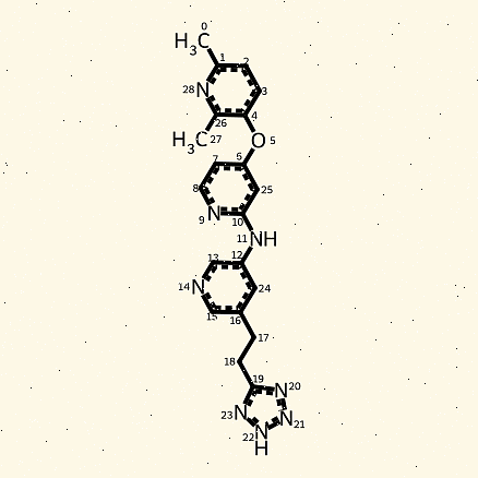 Cc1ccc(Oc2ccnc(Nc3cncc(CCc4nn[nH]n4)c3)c2)c(C)n1